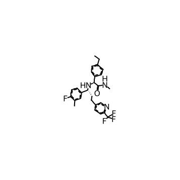 CCc1ccc([C@H](N[C@H](CCc2ccc(C(F)(F)F)nc2)c2ccc(F)c(C)c2)C(=O)NC)cc1